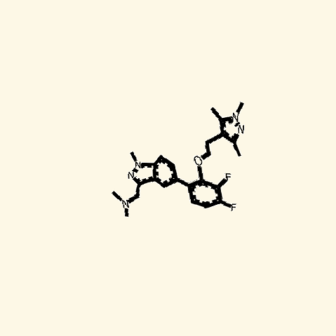 Cc1nn(C)c(C)c1CCOc1c(-c2ccc3c(c2)c(CN(C)C)nn3C)ccc(F)c1F